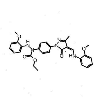 CCOC(=O)N(Nc1ccccc1OC)c1ccc(N2N=C(C)C(=CNc3ccccc3OC)C2=O)cc1